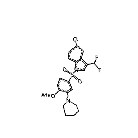 COc1ccc(S(=O)(=O)n2cc(C(F)F)c3cc(Cl)ccc32)cc1N1CCCCC1